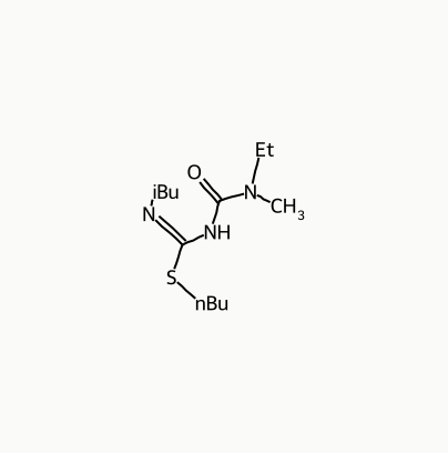 CCCCSC(=NC(C)CC)NC(=O)N(C)CC